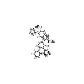 CCCCc1nc2ccc(-c3nccn3CCCC)cc2n1-c1ccc(-c2ccccc2)c(-c2nnn[nH]2)c1C